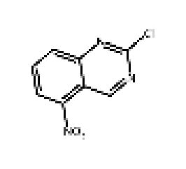 O=[N+]([O-])c1cccc2nc(Cl)ncc12